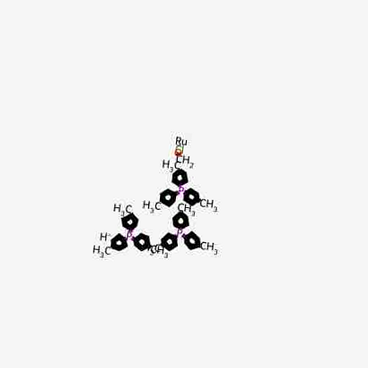 C=O.Cc1ccc(P(c2ccc(C)cc2)c2ccc(C)cc2)cc1.Cc1ccc(P(c2ccc(C)cc2)c2ccc(C)cc2)cc1.Cc1ccc(P(c2ccc(C)cc2)c2ccc(C)cc2)cc1.[Cl][Ru].[H-]